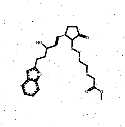 COC(=O)CSCCCSC1C(=O)CC[C@@H]1C=CC(O)CCc1cc2ccccc2s1